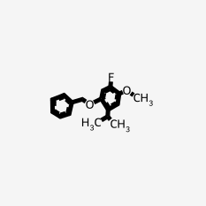 COc1cc(C(C)C)c(OCc2ccccc2)cc1F